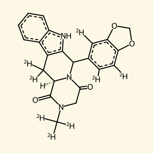 [2H]c1c([2H])c(C2c3[nH]c4ccccc4c3C([2H])([2H])[C@@H]3C(=O)N(C([2H])([2H])[2H])CC(=O)N23)c([2H])c2c1OCO2